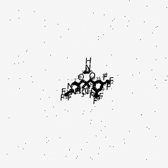 CCC1(CC)C(c2cnc(C(F)(F)F)nc2)OC2NC2OC1c1cc(C(F)(F)F)cc(C(F)(F)F)c1